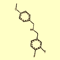 COc1ccc(CNCc2ccc(F)c(F)c2)cc1